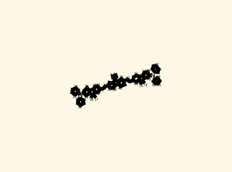 CCC1(CC)c2cc(/C=C/c3ccc4c(c3)C(C)(C)c3cc(N(c5ccccc5)c5ccccc5)ccc3-4)ccc2-c2ccc(/C=C/C3C=C4C(=CC3)c3ccc(N(c5ccccc5)c5ccccc5)cc3C4(C)C)cc21